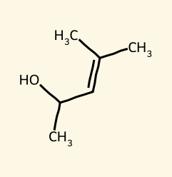 CC(C)=CC(C)O